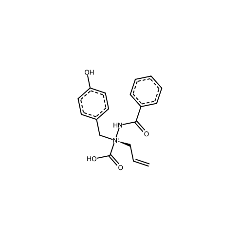 C=CC[N@@+](Cc1ccc(O)cc1)(NC(=O)c1ccccc1)C(=O)O